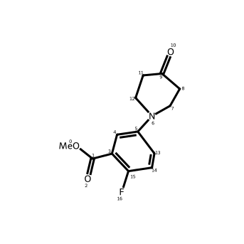 COC(=O)c1cc(N2CCC(=O)CC2)ccc1F